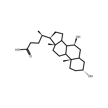 C[C@H](CCC(=O)O)[C@H]1CCC2C3C(CC[C@@]21C)[C@@]1(C)CC[C@@H](O)CC1C[C@@H]3O